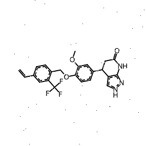 C=Cc1ccc(COc2ccc(C3CC(=O)Nc4n[nH]cc43)cc2OC)c(C(F)(F)F)c1